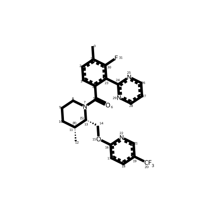 Cc1ccc(C(=O)N2CCC[C@@H](C)[C@H]2COc2ccc(C(F)(F)F)cn2)c(-c2ncccn2)c1F